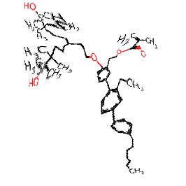 C=C(C)C(=O)OCCc1cc(-c2ccc(-c3ccc(CCCCC)cc3)cc2CC)ccc1OCCC(CCC(C)(C)[Si](C)(C)O)CCC(C)(C)[Si](C)(C)O